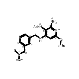 CCCCOc1cc(NCc2cccc(CN(C)CCC)c2)c(NC(C)=O)c(N)n1